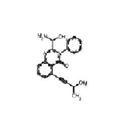 CC(O)C#Cc1cccc2nc(C(C)N)n(-c3ccccc3)c(=O)c12